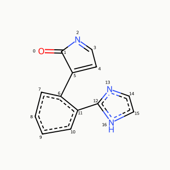 O=C1N=CC=C1c1ccccc1-c1ncc[nH]1